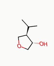 CC(C)[C@@H]1COC[C@H]1O